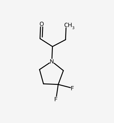 CCC(C=O)N1CCC(F)(F)C1